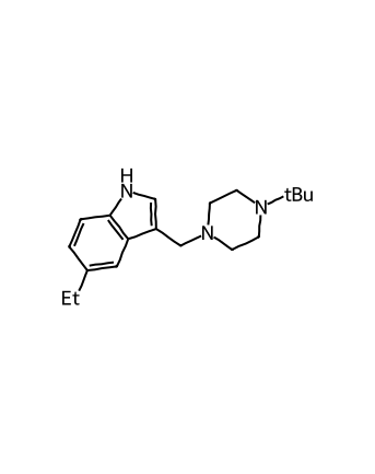 CCc1ccc2[nH]cc(CN3CCN(C(C)(C)C)CC3)c2c1